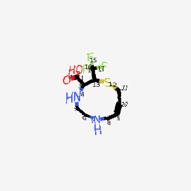 O=C(O)C1NCCNCC#CCSC1C(F)(F)F